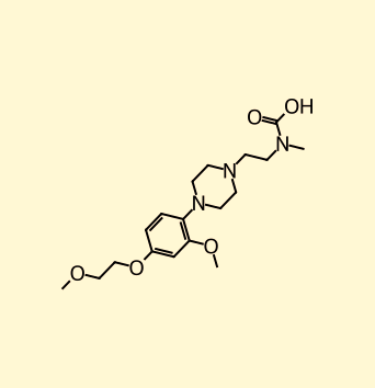 COCCOc1ccc(N2CCN(CCN(C)C(=O)O)CC2)c(OC)c1